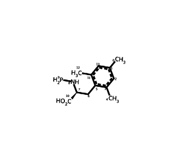 Cc1cc(C)c(C[C@H](NP)C(=O)O)c(C)c1